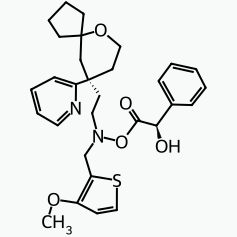 COc1ccsc1CN(CC[C@@]1(c2ccccn2)CCOC2(CCCC2)C1)OC(=O)[C@H](O)c1ccccc1